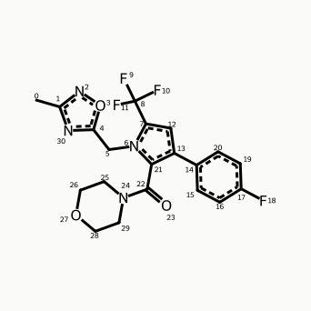 Cc1noc(Cn2c(C(F)(F)F)cc(-c3ccc(F)cc3)c2C(=O)N2CCOCC2)n1